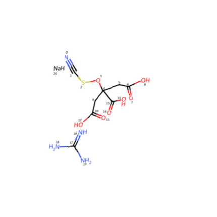 N#CSOC(CC(=O)O)(CC(=O)O)C(=O)O.N=C(N)N.[NaH]